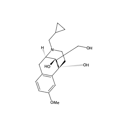 COc1ccc2c(c1)[C@]13CCN(CC4CC4)[C@H](C2)[C@]1(O)CC(CO)[C@H](O)C3